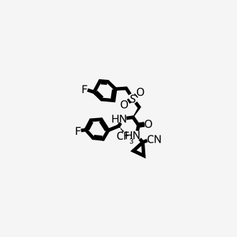 N#CC1(NC(=O)[C@H](CS(=O)(=O)Cc2ccc(F)cc2)N[C@@H](c2ccc(F)cc2)C(F)(F)F)CC1